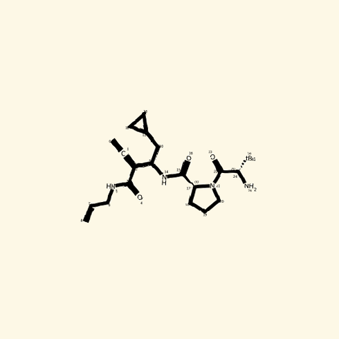 C=C=C(C(=O)NCC=C)C(CC1CC1)NC(=O)[C@@H]1CCCN1C(=O)[C@@H](N)C(C)(C)C